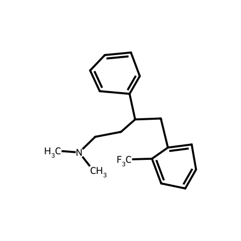 CN(C)CCC(Cc1ccccc1C(F)(F)F)c1ccccc1